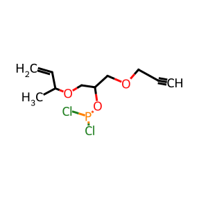 C#CCOCC(COC(C)C=C)OP(Cl)Cl